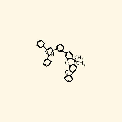 CC1(C)c2ccc(-c3cccc(-c4cc(-c5ccccc5)nc(-c5ccccc5)n4)c3)cc2Oc2c1ccc1c2oc2ccccc21